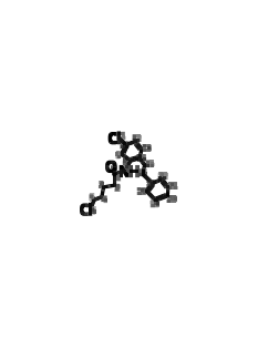 O=C(CCCCCl)Nc1cc(Cl)ccc1CCc1ccccc1